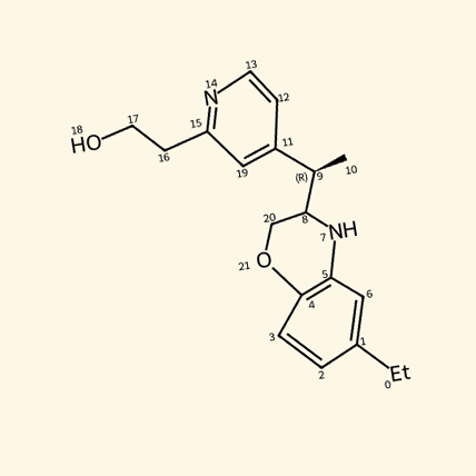 CCc1ccc2c(c1)NC([C@H](C)c1ccnc(CCO)c1)CO2